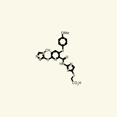 COc1ccc(Sc2ccc(Sc3nncn3C)nc2C(=O)Nc2ncc(SCC(=O)O)s2)cc1